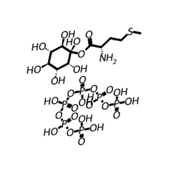 CSCC[C@H](N)C(=O)O[C@]1(O)[C@H](O)[C@H](O)[C@@H](O)[C@H](O)[C@H]1O.O=P(O)(O)OP(=O)(O)OP(=O)(O)OP(=O)(O)OP(=O)(O)OP(=O)(O)O